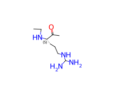 CCN[C@@H](CCCNC(N)N)C(C)=O